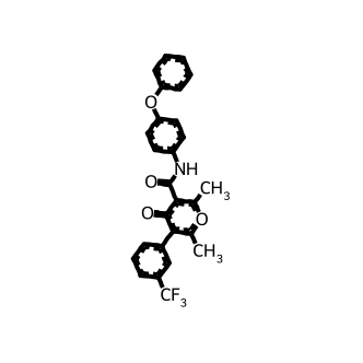 Cc1oc(C)c(-c2cccc(C(F)(F)F)c2)c(=O)c1C(=O)Nc1ccc(Oc2ccccc2)cc1